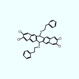 Clc1cc2cc3c(cc2cc1Cl)C(SCCc1ccccc1)c1cc2cc(Cl)c(Cl)cc2cc1C3SCCc1ccccc1